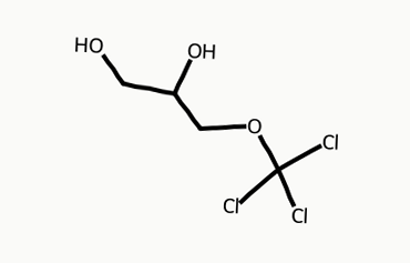 OCC(O)COC(Cl)(Cl)Cl